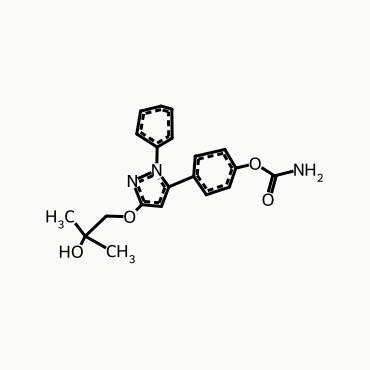 CC(C)(O)COc1cc(-c2ccc(OC(N)=O)cc2)n(-c2ccccc2)n1